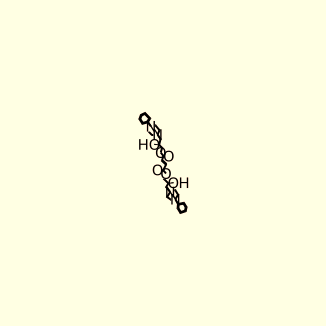 O=C(/C=C/C(=O)OC[C@@H](O)CN1CCN(c2ccccc2)CC1)OC[C@@H](O)CN1CCN(c2ccccc2)CC1